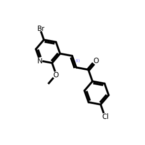 COc1ncc(Br)cc1/C=C/C(=O)c1ccc(Cl)cc1